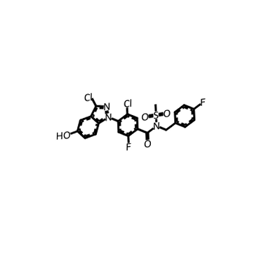 CS(=O)(=O)N(Cc1ccc(F)cc1)C(=O)c1cc(Cl)c(-n2nc(Cl)c3cc(O)ccc32)cc1F